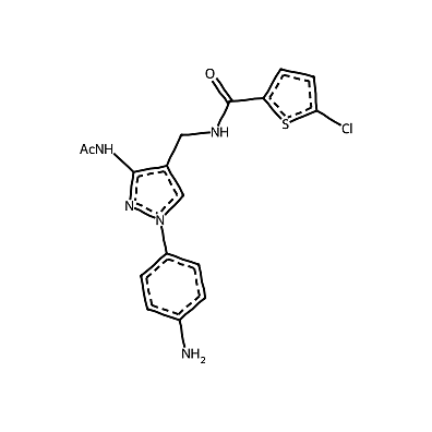 CC(=O)Nc1nn(-c2ccc(N)cc2)cc1CNC(=O)c1ccc(Cl)s1